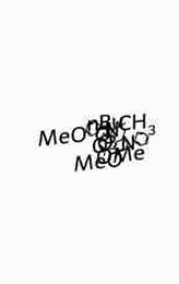 CCCCC1(C)CC2C(=C(C(=O)OC)C(OC)=CN2c2ccccc2)S(=O)(=O)N1Cc1ccc(OC)cc1